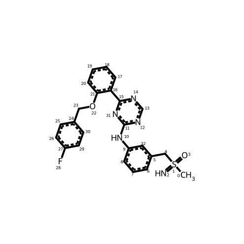 CS(=N)(=O)Cc1cccc(Nc2ncnc(-c3ccccc3OCc3ccc(F)cc3)n2)c1